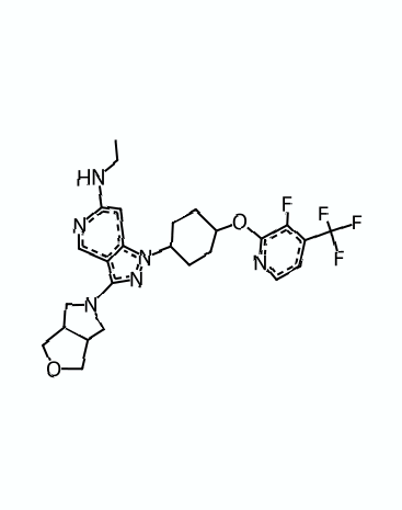 CCNc1cc2c(cn1)c(N1CC3COCC3C1)nn2C1CCC(Oc2nccc(C(F)(F)F)c2F)CC1